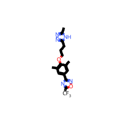 Cc1nnc(CCCOc2c(C)cc(-c3noc(C(F)(F)F)n3)cc2C)[nH]1